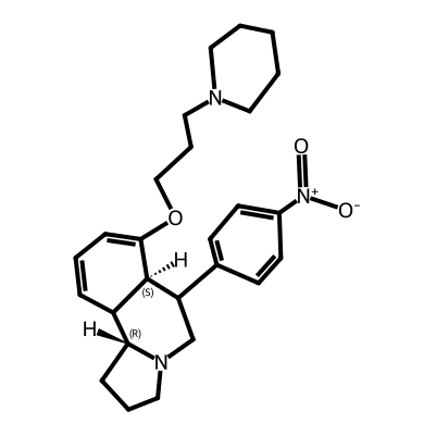 O=[N+]([O-])c1ccc(C2CN3CCC[C@@H]3C3C=CC=C(OCCCN4CCCCC4)[C@@H]23)cc1